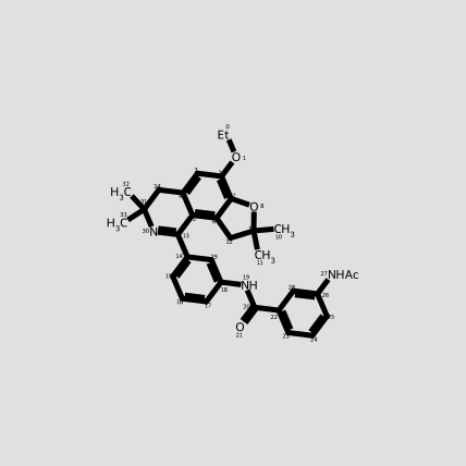 CCOc1cc2c(c3c1OC(C)(C)C3)C(c1cccc(NC(=O)c3cccc(NC(C)=O)c3)c1)=NC(C)(C)C2